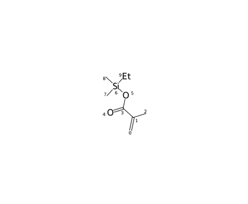 C=C(C)C(=O)O[Si](C)(C)CC